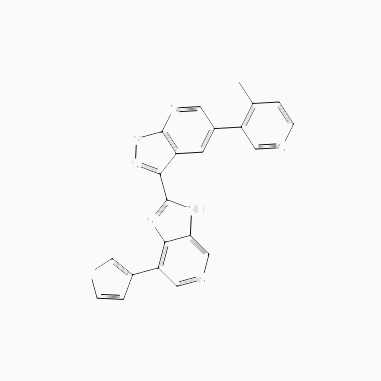 Cc1ccncc1-c1cnc2[nH]nc(-c3nc4c(-c5ccsc5)cncc4[nH]3)c2c1